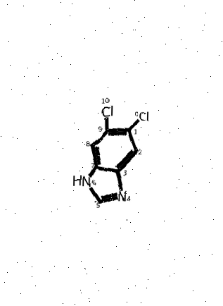 Clc1[c]c2n[c][nH]c2cc1Cl